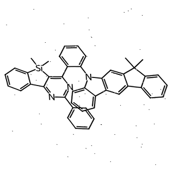 CC1(C)c2ccccc2-c2cc3c4ccccc4n(-c4ccccc4-c4nc(-c5ccccc5)nc5c4[Si](C)(C)c4ccccc4-5)c3cc21